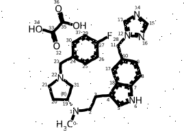 CN(CCc1c[nH]c2ccc(Cn3cncn3)cc12)[C@@H]1CCN(Cc2ccc(F)cc2)C1.O=C(O)C(=O)O